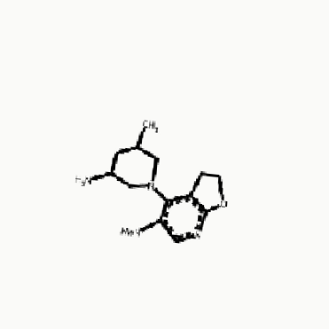 CNc1cnc2c(c1N1CC(C)CC(N)C1)CCO2